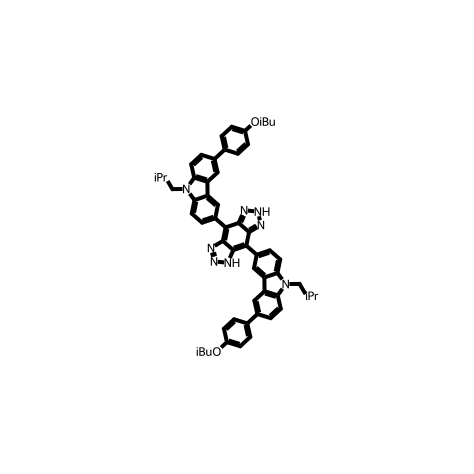 CC(C)COc1ccc(-c2ccc3c(c2)c2cc(-c4c5n[nH]nc5c(-c5ccc6c(c5)c5cc(-c7ccc(OCC(C)C)cc7)ccc5n6CC(C)C)c5[nH]nnc45)ccc2n3CC(C)C)cc1